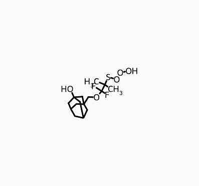 CC(C)(SOOO)C(F)(F)OCC12CC3CC(CC(O)(C3)C1)C2